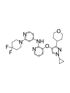 FC1(F)CCN(c2cc(Nc3ncccc3Oc3cn(C4CC4)nc3C3CCOCC3)ccn2)CC1